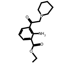 CCOC(=O)c1cccc(C(=O)CN2CCCCC2)c1N